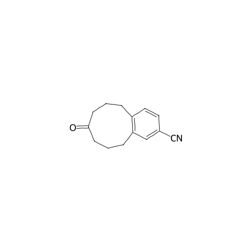 N#Cc1ccc2c(c1)CCCC(=O)CCC2